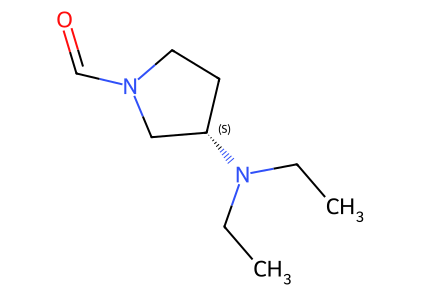 CCN(CC)[C@H]1CCN(C=O)C1